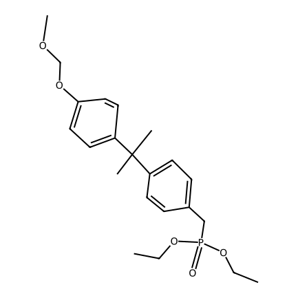 CCOP(=O)(Cc1ccc(C(C)(C)c2ccc(OCOC)cc2)cc1)OCC